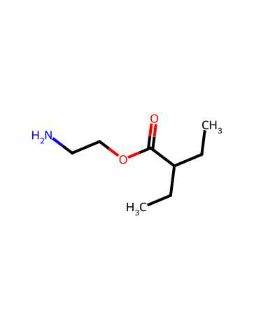 CCC(CC)C(=O)OCCN